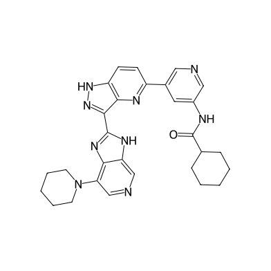 O=C(Nc1cncc(-c2ccc3[nH]nc(-c4nc5c(N6CCCCC6)cncc5[nH]4)c3n2)c1)C1CCCCC1